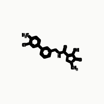 Cc1ccc(-c2cccc(CNC(=O)C3=C(O)C(=O)N(C)C3)c2)cc1Cl